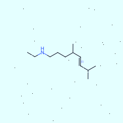 CCNCCCC(C)/C=C/C(C)C